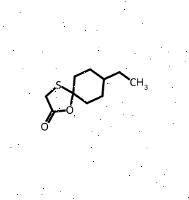 CCC1CCC2(CC1)OC(=O)CS2